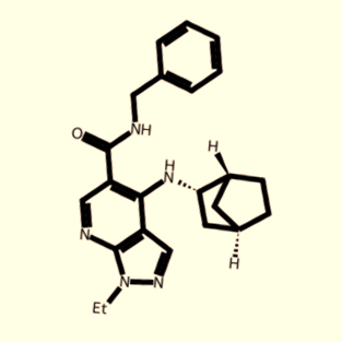 CCn1ncc2c(N[C@H]3C[C@@H]4CC[C@@H]3C4)c(C(=O)NCc3ccccc3)cnc21